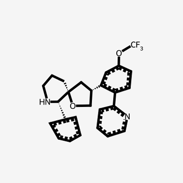 FC(F)(F)Oc1ccc(-c2ccccn2)c([C@@H]2CO[C@]3(CCCN[C@H]3c3ccccc3)C2)c1